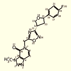 Cn1nnc2ccn(Cc3nc([C@@H]4CO[C@@H](c5ccc(F)cc5)C4)no3)c(=O)c21